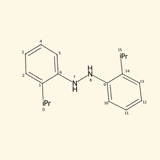 CC(C)c1ccccc1NNc1ccccc1C(C)C